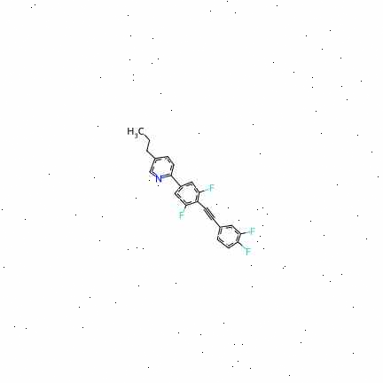 CCCc1ccc(-c2cc(F)c(C#Cc3ccc(F)c(F)c3)c(F)c2)nc1